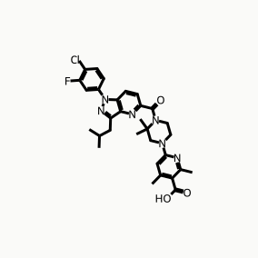 Cc1cc(N2CCN(C(=O)c3ccc4c(n3)c(CC(C)C)nn4-c3ccc(Cl)c(F)c3)C(C)(C)C2)nc(C)c1C(=O)O